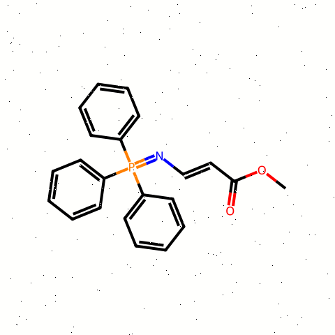 COC(=O)/C=C/N=P(c1ccccc1)(c1ccccc1)c1ccccc1